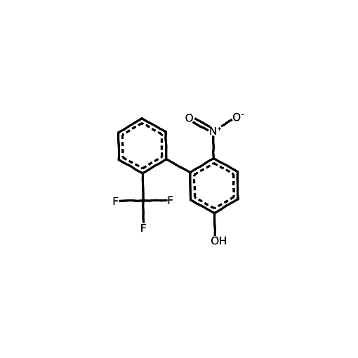 O=[N+]([O-])c1ccc(O)cc1-c1ccccc1C(F)(F)F